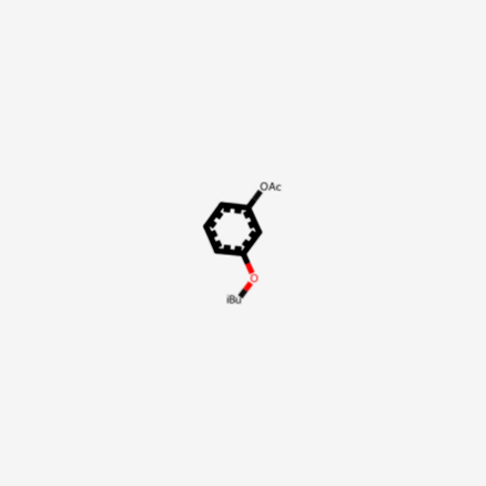 CCC(C)Oc1cccc(OC(C)=O)c1